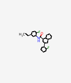 C/C=C/c1ccc(F)c(NC(=O)c2cc(-c3ccccc3F)cc3ccccc23)c1